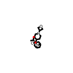 CC(C)N1CC2CC(C1)N2C(=O)C1CCN(C2COC2)CC1